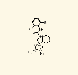 CC(C)c1cccc(C(C)C)c1NC(=O)NC[C@@]1(C2CCCCC2)O[C@@H](C)[C@@H](C)O1